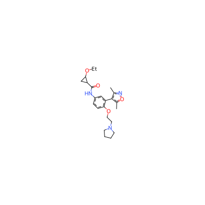 CCOC1CC1C(=O)Nc1ccc(OCCN2CCCC2)c(-c2c(C)noc2C)c1